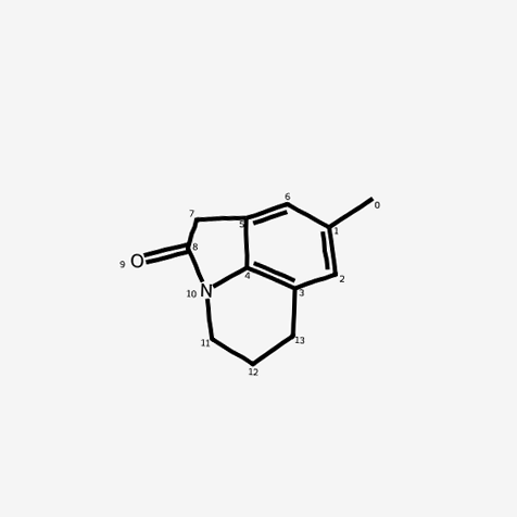 Cc1cc2c3c(c1)CC(=O)N3CCC2